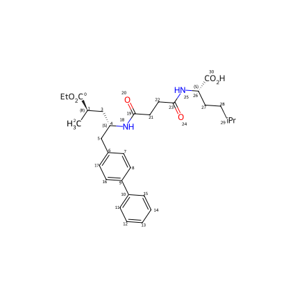 CCOC(=O)[C@H](C)C[C@@H](Cc1ccc(-c2ccccc2)cc1)NC(=O)CCC(=O)N[C@@H](CCC(C)C)C(=O)O